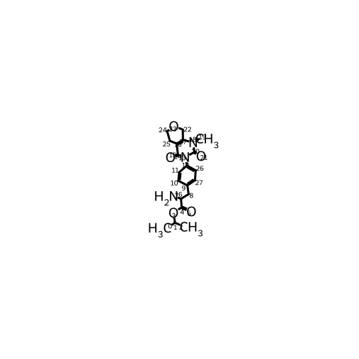 CC(C)OC(=O)C(N)Cc1ccc(-n2c(=O)c3c(n(C)c2=O)COCC3)cc1